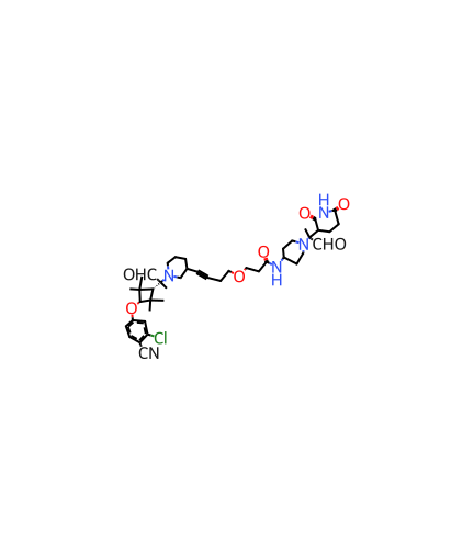 CC(C=O)(C1CCC(=O)NC1=O)N1CCC(NC(=O)CCOCCC#CC2CCCN(C(C)(C=O)[C@H]3C(C)(C)[C@H](Oc4ccc(C#N)c(Cl)c4)C3(C)C)C2)CC1